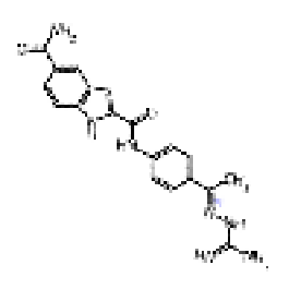 C/C(=N\NC(=N)N)c1ccc(NC(=O)c2cc3cc(C(N)=O)ccc3[nH]2)cc1